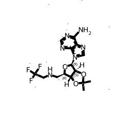 CC1(C)O[C@H]2[C@H](O1)[C@@H](CNCC(F)(F)F)O[C@H]2n1cnc2c(N)ncnc21